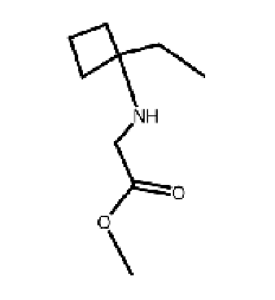 CCC1(NCC(=O)OC)CCC1